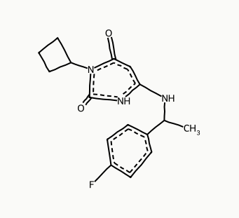 CC(Nc1cc(=O)n(C2CCC2)c(=O)[nH]1)c1ccc(F)cc1